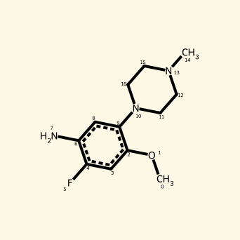 COc1cc(F)c(N)cc1N1CCN(C)CC1